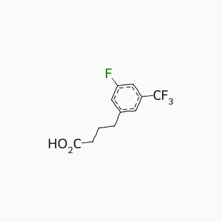 O=C(O)CCCc1cc(F)cc(C(F)(F)F)c1